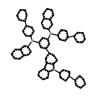 c1ccc(-c2ccc(N(c3cc(-c4ccc5c(c4)c4ccccc4n5-c4ccc(-c5ccccc5)cc4)cc(N(c4ccc(-c5ccccc5)cc4)c4ccc5ccccc5c4)c3)c3ccc4ccccc4c3)cc2)cc1